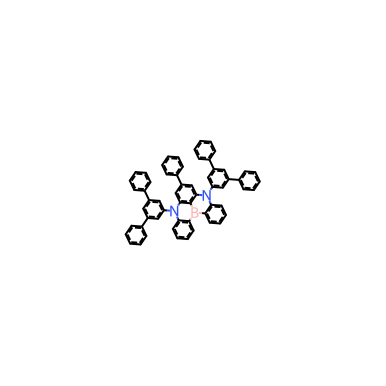 c1ccc(-c2cc(-c3ccccc3)cc(N3c4ccccc4B4c5ccccc5N(c5cc(-c6ccccc6)cc(-c6ccccc6)c5)c5cc(-c6ccccc6)cc3c54)c2)cc1